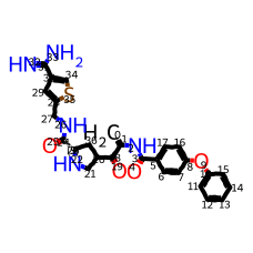 C=C(NC(=O)c1ccc(Oc2ccccc2)cc1)C(=O)C1CN[C@H](C(=O)NCc2cc(C(=N)N)cs2)C1